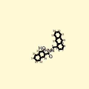 O=C(N/N=C/c1cccc2cc3ccccc3cc12)c1cc2ccccc2cc1O